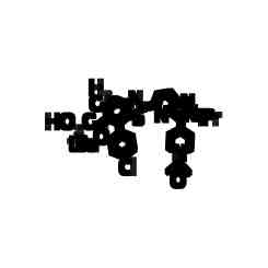 Cc1cc2nc(-c3ccc4nn(C(C)C)c(C5CCN(C6COC6)CC5)c4n3)sc2c(-c2ccc(Cl)cc2)c1[C@H](OC(C)(C)C)C(=O)O